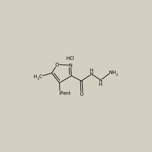 CCCC(C)c1c(C(=O)NNN)noc1C.Cl